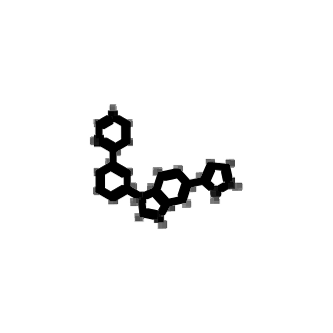 c1cc(-c2ccncn2)cc(-n2cnc3cc(-c4ccno4)ccc32)c1